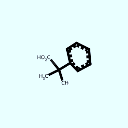 [CH]C(C)(C(=O)O)c1ccccc1